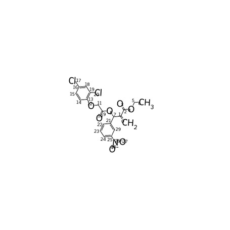 C=C(C(=O)OCC)C(OC(=O)COc1ccc(Cl)cc1Cl)c1cccc([N+](=O)[O-])c1